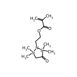 C=C(C)C(=O)OCCN1[Si](C)(C)CC(=O)[Si]1(C)C